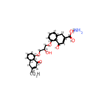 NOC(=O)C1=CC(=O)c2c(cccc2OCC(O)COc2cccc3c2C(=O)C=C(C(=O)O)C3)C1